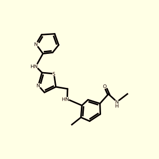 CNC(=O)c1ccc(C)c(NCc2cnc(Nc3ccccn3)s2)c1